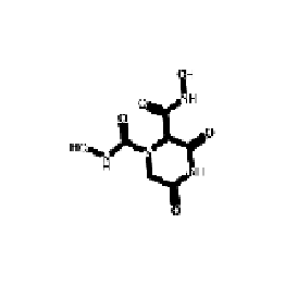 O=C1CN(C(=O)NO)C(C(=O)NO)C(=O)N1